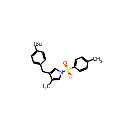 Cc1ccc(S(=O)(=O)n2cc(C)c(Cc3ccc(C(C)(C)C)cc3)c2)cc1